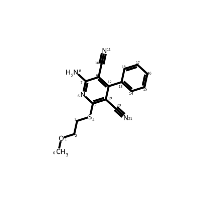 COCCSc1nc(N)c(C#N)c(-c2ccccc2)c1C#N